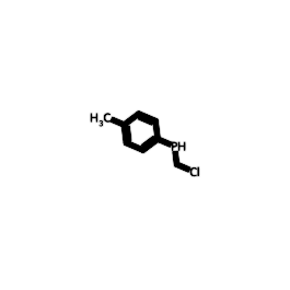 Cc1ccc(PCCl)cc1